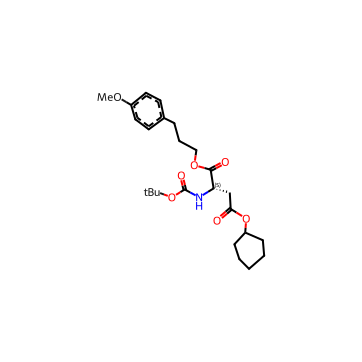 COc1ccc(CCCOC(=O)[C@H](CC(=O)OC2CCCCC2)NC(=O)OC(C)(C)C)cc1